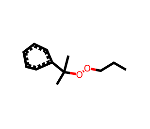 CCCOOC(C)(C)c1ccccc1